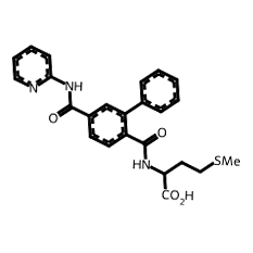 CSCCC(NC(=O)c1ccc(C(=O)Nc2ccccn2)cc1-c1ccccc1)C(=O)O